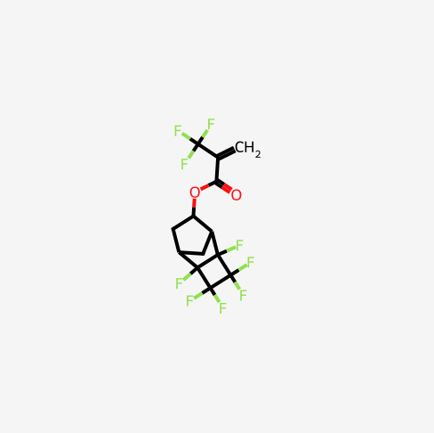 C=C(C(=O)OC1CC2CC1C1(F)C(F)(F)C(F)(F)C21F)C(F)(F)F